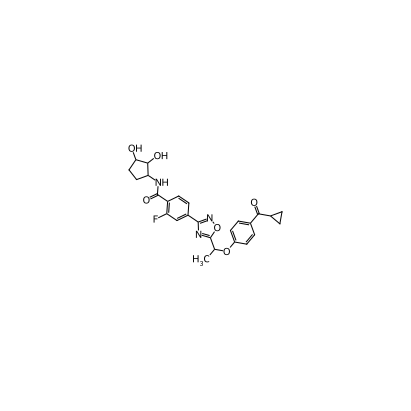 CC(Oc1ccc(C(=O)C2CC2)cc1)c1nc(-c2ccc(C(=O)NC3CCC(O)C3O)c(F)c2)no1